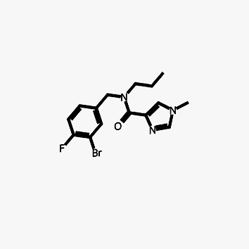 CCCN(Cc1ccc(F)c(Br)c1)C(=O)c1cn(C)cn1